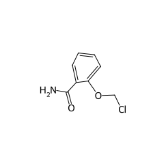 NC(=O)c1ccccc1OCCl